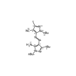 CCCCn1nc(C(C)(C)C)c(N=Nc2c(C#N)c(C)nn2CCCC)c1N